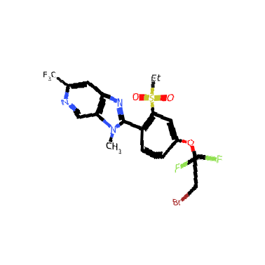 CCS(=O)(=O)c1cc(OC(F)(F)CBr)ccc1-c1nc2cc(C(F)(F)F)ncc2n1C